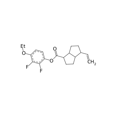 C=CC1CCC2C(C(=O)Oc3ccc(OCC)c(F)c3F)CCC12